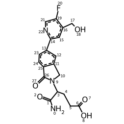 NC(=O)C(CCC(=O)O)N1Cc2cc(-c3cc(CO)c(F)cn3)ccc2C1=O